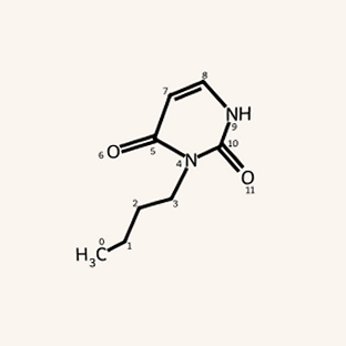 CCCCn1c(=O)cc[nH]c1=O